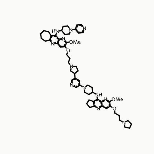 COc1nc2c(NC3CCN(c4ccncc4)CC3)c3c(nc2cc1OCCCN1CCC(c2cncc(N4CCC(Nc5c6c(nc7cc(OCCCN8CCCC8)c(OC)nc57)CCC6)CC4)c2)C1)CCCCC3